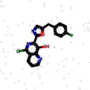 Oc1c(-c2ncc(Cc3ccc(F)cc3)o2)nc(Cl)c2cccnc12